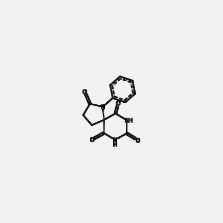 O=C1NC(=O)C2(CCC(=O)N2c2ccccc2)C(=O)N1